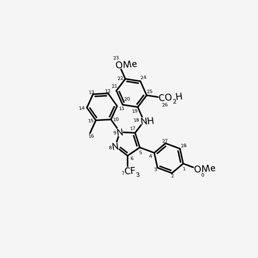 COc1ccc(-c2c(C(F)(F)F)nn(-c3ccccc3C)c2Nc2ccc(OC)cc2C(=O)O)cc1